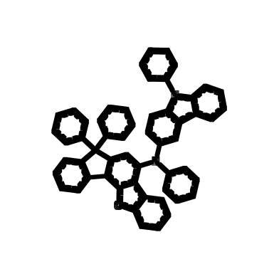 c1ccc(N(c2ccc3c(c2)c2ccccc2n3-c2ccccc2)c2cc3c(c4oc5ccccc5c24)-c2ccccc2C3(c2ccccc2)c2ccccc2)cc1